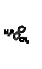 Cc1ccc(P)cc1.c1ccccc1